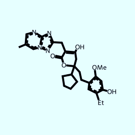 CCc1cc(CCC2(C3CCCC3)CC(O)=C(Cc3nc4ncc(C)cn4n3)C(=O)O2)c(OC)cc1O